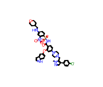 Cn1ncc(-c2ccc(Cl)cc2)c1CN1CCN(c2ccc(C(=O)NS(=O)(=O)c3ccc(NCC4CCOCC4)cc3[N+](=O)[O-])c(Oc3ccc4[nH]ccc4c3)c2)CC1